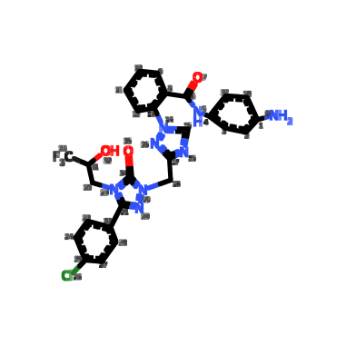 Nc1ccc(NC(=O)c2ccccc2-n2cnc(Cn3nc(-c4ccc(Cl)cc4)n(CC(O)C(F)(F)F)c3=O)n2)cc1